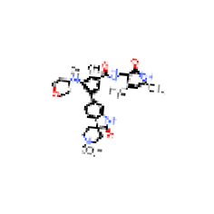 CCN(c1cc(-c2ccc3c(c2)NC(=O)C32CCN(C(=O)O)CC2)cc(C(=O)NCc2c(C)cc(C)[nH]c2=O)c1C)C1CCOCC1